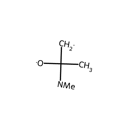 [CH2]C(C)([O])NC